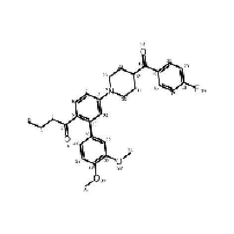 CCCC(=O)c1ccc(N2CCC(C(=O)c3ccc(F)cc3)CC2)cc1-c1ccc(OC)c(OC)c1